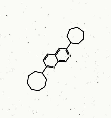 c1cc2cc(C3CCCCCC3)ncc2nc1C1CCCCCCC1